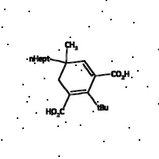 CCCCCCCC1(C)C=C(C(=O)O)C(C(C)(C)C)=C(C(=O)O)C1